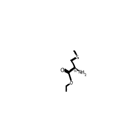 CCOC(=O)[C@H](N)CSC